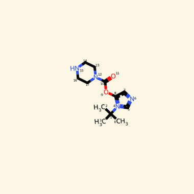 CC(C)(C)n1cncc1OC(=O)N1CCNCC1